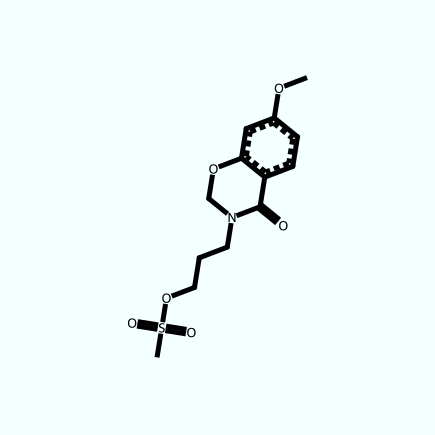 COc1ccc2c(c1)OCN(CCCOS(C)(=O)=O)C2=O